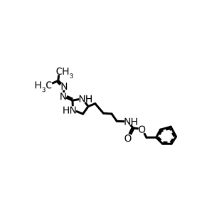 CC(C)=NN=C1NCC(CCCCNC(=O)OCc2ccccc2)N1